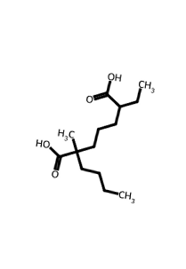 CCCCC(C)(CCCC(CC)C(=O)O)C(=O)O